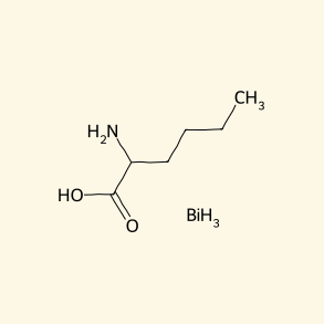 CCCCC(N)C(=O)O.[BiH3]